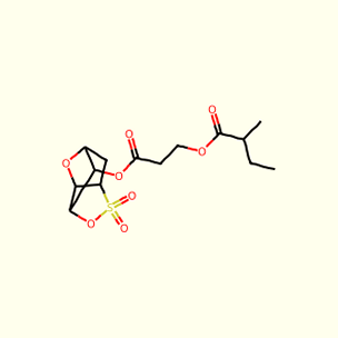 CCC(C)C(=O)OCCC(=O)OC1C2CC3C(O2)C1OS3(=O)=O